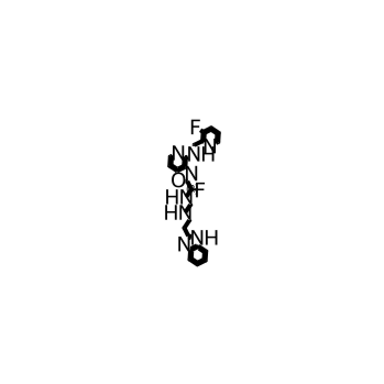 Fc1cccnc1CNc1nccc2oc([C@@H](F)NCNCCc3nc4ccccc4[nH]3)nc12